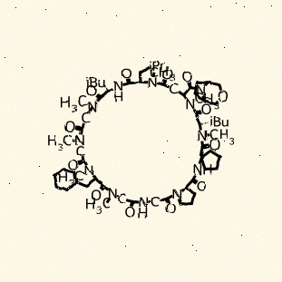 CC[C@H](C)C1NC(=O)C(CC(C)C)N(C)C(=O)CC(C(=O)N2C3CCC2COC3)N(C)C(=O)C([C@@H](C)CC)N(C)C(=O)C2(CCCC2)NC(=O)C2CCCN2C(=O)CNC(=O)CN(C)C(=O)C(CC2CCCCC2)N(C)C(=O)CN(C)C(=O)CN(C)C1=O